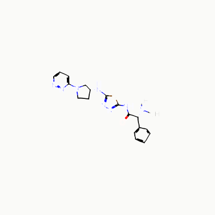 CN(C)[C@@H](C(=O)Nc1nnc(N[C@@H]2CCN(c3cccnn3)C2)s1)c1ccccc1